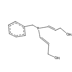 OCC=CP(C=CCO)Cc1ccccc1